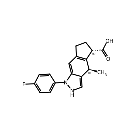 C[C@H]1C2=CNN(c3ccc(F)cc3)C2=CC2=C1[C@@H](C(=O)O)CC2